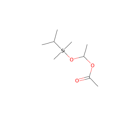 CC(=O)OC(C)O[Si](C)(C)C(C)C